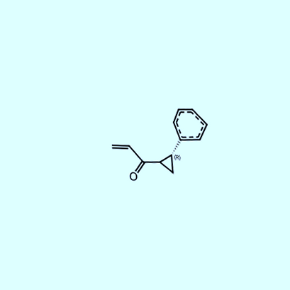 C=CC(=O)C1C[C@H]1c1ccccc1